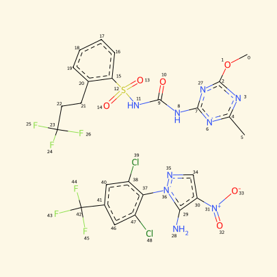 COc1nc(C)nc(NC(=O)NS(=O)(=O)c2ccccc2CCC(F)(F)F)n1.Nc1c([N+](=O)[O-])cnn1-c1c(Cl)cc(C(F)(F)F)cc1Cl